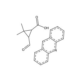 CC1(C)C(C=O)C1C(=O)O.c1ccc2nc3ccccc3cc2c1